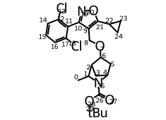 CC1C2CC(CC2OCc2c(-c3c(Cl)cccc3Cl)noc2C2CC2)N1C(=O)OC(C)(C)C